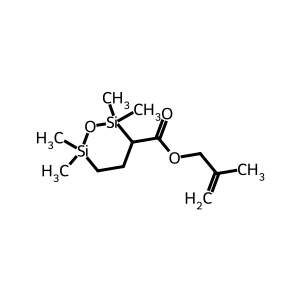 C=C(C)COC(=O)C1CC[Si](C)(C)O[Si]1(C)C